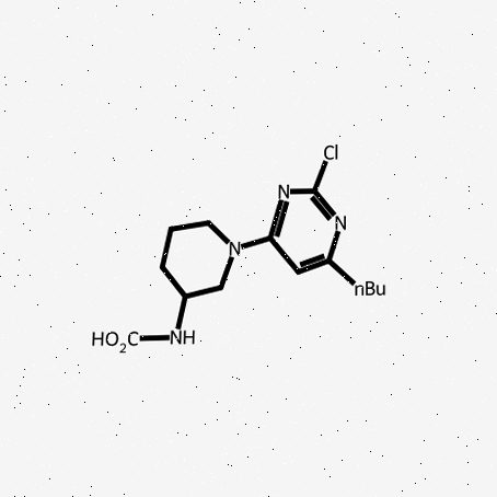 CCCCc1cc(N2CCCC(NC(=O)O)C2)nc(Cl)n1